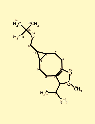 CC(C)C1C2=C(CCC3C(CC2)C3COC(C)(C)C)ON1C